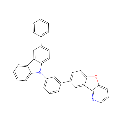 c1ccc(-c2ccc3c(c2)c2ccccc2n3-c2cccc(-c3ccc4oc5cccnc5c4c3)c2)cc1